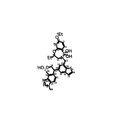 CCOc1ccc2c(n1)O[C@H](CC)CN(Cc1cc(C(CC(=O)O)c3ccc4c(nnn4C)c3C)cc3ccsc13)S2(O)O